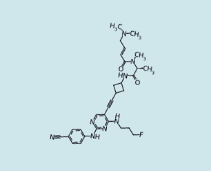 C[C@@H](C(=O)NC1CC(C#Cc2cnc(Nc3ccc(C#N)cc3)nc2NCCCF)C1)N(C)C(=O)/C=C/CN(C)C